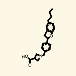 CCCCc1ccc2c(c1)CC(c1ccc(CN3CC(C(=O)O)C3)cc1)O2